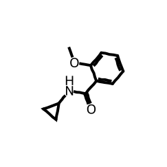 COc1ccccc1C(=O)NC1CC1